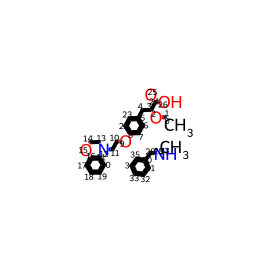 CCOC(Cc1ccc(OCCN2CCOc3ccccc32)cc1)C(=O)O.CNCc1ccccc1